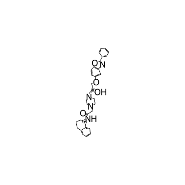 O=C(CN1CCN(C[C@@H](O)COc2ccc3oc(-c4ccccc4)nc3c2)CC1)N[C@H]1CCCc2ccccc21